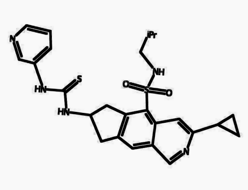 CC(C)CNS(=O)(=O)c1c2c(cc3cnc(C4CC4)cc13)CC(NC(=S)Nc1cccnc1)C2